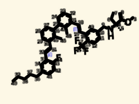 C=C(OC)[C@](C)(CC)NCc1ccc(C(F)(F)F)c(/C=C/c2cccc(-c3cccc(/C=C/c4cc(CCCCC)ccc4F)c3C)c2C)c1